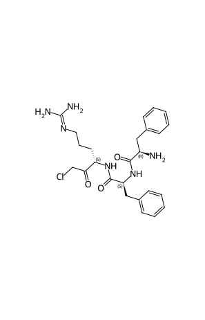 NC(N)=NCCC[C@H](NC(=O)[C@H](Cc1ccccc1)NC(=O)[C@H](N)Cc1ccccc1)C(=O)CCl